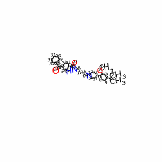 COc1cc(C(C)C)ccc1C1CCN(CCCCNC(=O)c2ccc(C(=O)c3ccccc3)cc2)CC1